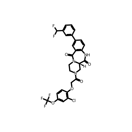 O=C1Nc2ccc(-c3cccc(C(F)F)c3)cc2C(=O)N2CCN(C(=O)COc3ccc(OC(F)(F)F)cc3Cl)C[C@@H]12